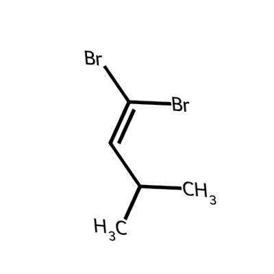 CC(C)C=C(Br)Br